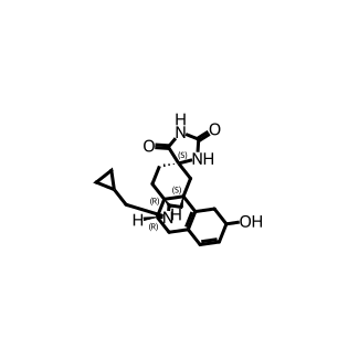 O=C1NC(=O)[C@@]2(CC[C@H]3[C@H]4CC5=C(CC(O)C=C5)[C@@]3(CCN4CC3CC3)C2)N1